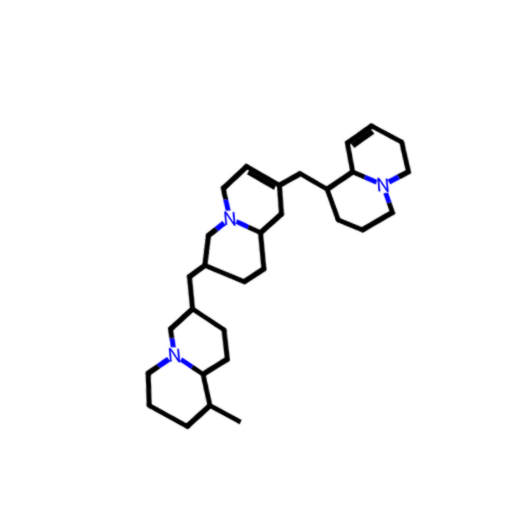 CC1CCCN2CC(CC3CCC4CC(CC5CCCN6CCC=CC56)=CCN4C3)CCC12